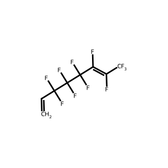 C=CC(F)(F)C(F)(F)C(F)(F)C(F)=C(F)C(F)(F)F